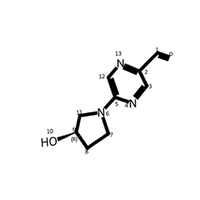 C=Cc1cnc(N2CC[C@@H](O)C2)cn1